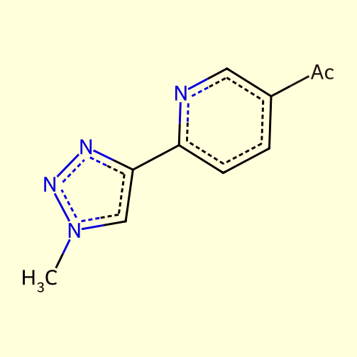 CC(=O)c1ccc(-c2cn(C)nn2)nc1